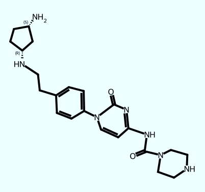 N[C@H]1CC[C@@H](NCCc2ccc(-n3ccc(NC(=O)N4CCNCC4)nc3=O)cc2)C1